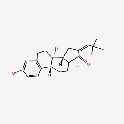 CC(C)(C)C=C1C[C@H]2[C@@H]3CCc4cc(O)ccc4[C@H]3CC[C@]2(C)C1=O